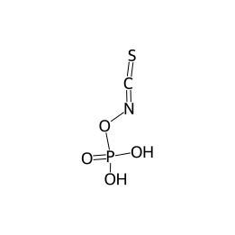 O=P(O)(O)ON=C=S